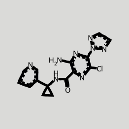 Nc1nc(-n2nccn2)c(Cl)nc1C(=O)NC1(c2cccnc2)CC1